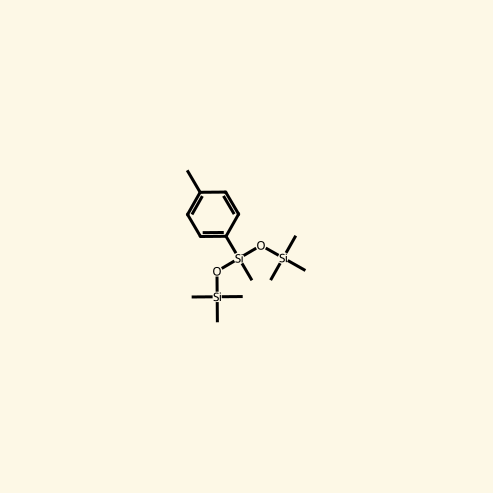 Cc1ccc([Si](C)(O[Si](C)(C)C)O[Si](C)(C)C)cc1